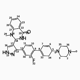 CN1CCN(C2C=CC(c3ccc(-c4n[nH]cc4C4NC(=O)c5ccccc5N4C)cc3F)=CC2)CC1